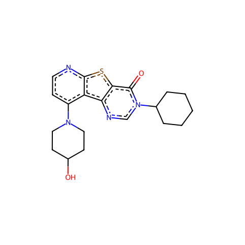 O=c1c2sc3nccc(N4CCC(O)CC4)c3c2ncn1C1CCCCC1